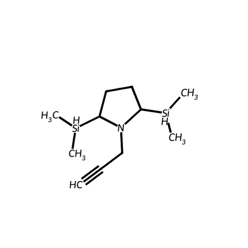 C#CCN1C([SiH](C)C)CCC1[SiH](C)C